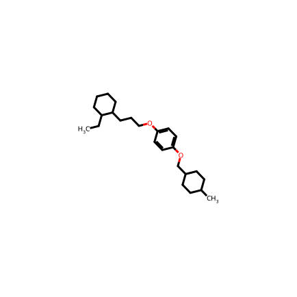 CCC1CCCCC1CCCOc1ccc(OCC2CCC(C)CC2)cc1